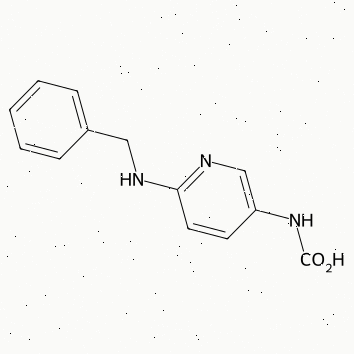 O=C(O)Nc1ccc(NCc2ccccc2)nc1